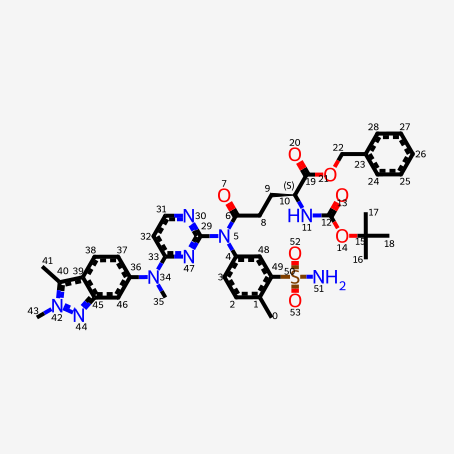 Cc1ccc(N(C(=O)CC[C@H](NC(=O)OC(C)(C)C)C(=O)OCc2ccccc2)c2nccc(N(C)c3ccc4c(C)n(C)nc4c3)n2)cc1S(N)(=O)=O